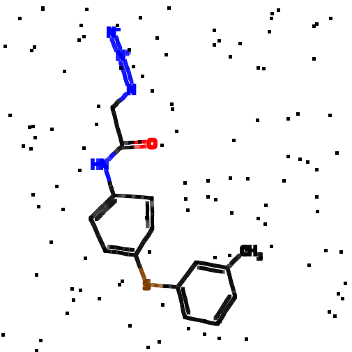 Cc1cccc(Sc2ccc(NC(=O)CN=[N+]=[N-])cc2)c1